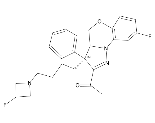 CC(=O)C1=NN2c3cc(F)ccc3OCC2[C@]1(CCCCN1CC(F)C1)c1ccccc1